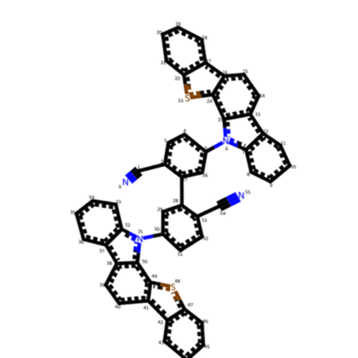 N#Cc1ccc(-n2c3ccccc3c3ccc4c5ccccc5sc4c32)cc1-c1cc(-n2c3ccccc3c3ccc4c5ccccc5sc4c32)ccc1C#N